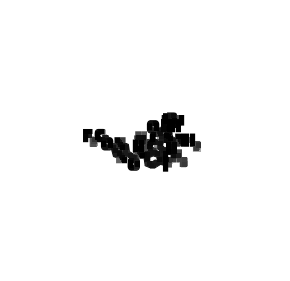 C[C@@H]1[C@@](C)(C(=O)NC(C)(C)C)SC(N)=N[C@]1(C)c1cc(NC(=O)c2cnc(OCC(F)(F)F)cn2)ccc1F